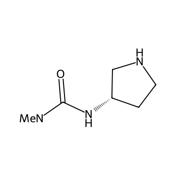 CNC(=O)N[C@H]1CCNC1